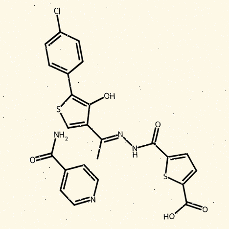 CC(=NNC(=O)c1ccc(C(=O)O)s1)c1csc(-c2ccc(Cl)cc2)c1O.NC(=O)c1ccncc1